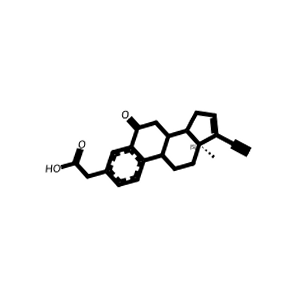 C#CC1=CCC2C3CC(=O)c4cc(CC(=O)O)ccc4C3CC[C@]12C